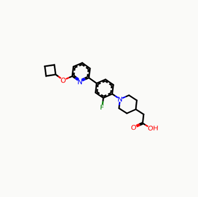 O=C(O)CC1CCN(c2ccc(-c3cccc(OC4CCC4)n3)cc2F)CC1